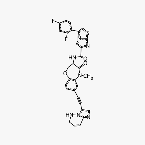 CN1C(=O)C(NC(=O)c2cn3c(-c4ccc(F)cc4F)csc3n2)COc2ccc(C#Cc3cnc4n3NCC=C4)cc21